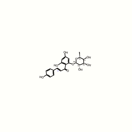 C[C@@H]1O[C@H](Oc2cc(O)cc(O)c2C(=O)/C=C/c2ccc(O)cc2)[C@@H](O)[C@H](O)[C@@H]1O